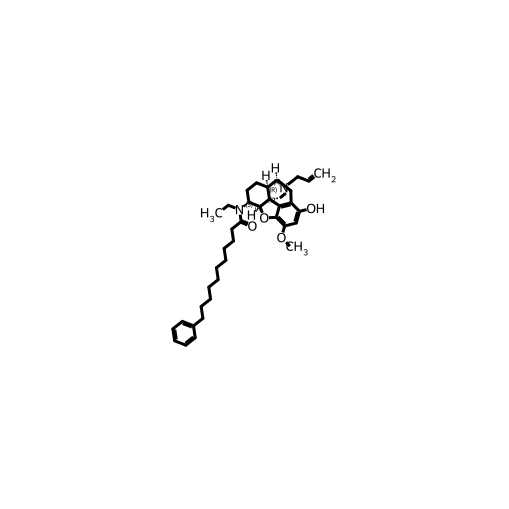 C=CCN1CC[C@]23c4c5c(O)cc(OC)c4O[C@H]2[C@@H](N(CC)C(=O)CCCCCCCCCCc2ccccc2)CC[C@H]3[C@H]1C5